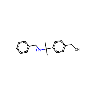 CC(C)(NCc1ccccc1)c1ccc(CC#N)cc1